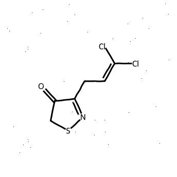 O=C1CSN=C1CC=C(Cl)Cl